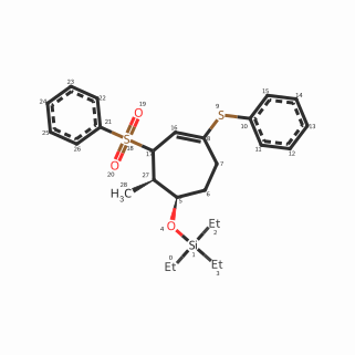 CC[Si](CC)(CC)O[C@@H]1CCC(Sc2ccccc2)=CC(S(=O)(=O)c2ccccc2)[C@@H]1C